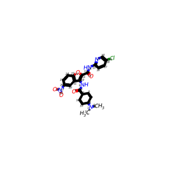 CN(C)C1CCC(C(=O)Nc2c(C(=O)Nc3ccc(Cl)cn3)oc3ccc([N+](=O)[O-])cc23)CC1